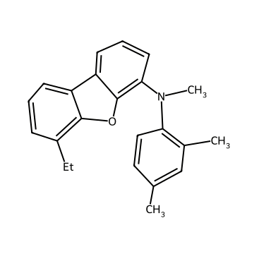 CCc1cccc2c1oc1c(N(C)c3ccc(C)cc3C)cccc12